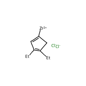 CCC1=C(CC)C[C]([Zr+2])=C1.[Cl-].[Cl-]